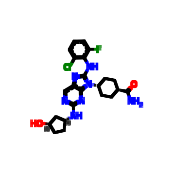 NC(=O)[C@H]1CC[C@H](n2c(Nc3c(F)cccc3Cl)nc3cnc(N[C@@H]4CC[C@@H](O)C4)nc32)CC1